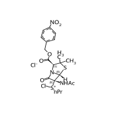 CCC[S+](Cl)[C@]1(NC(C)=O)C(=O)N2[C@@H](C(=O)OCc3ccc([N+](=O)[O-])cc3)C(C)(C)S[C@@H]21.[Cl-]